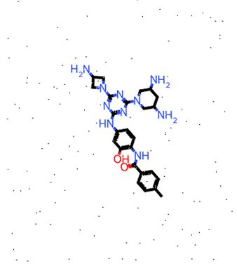 Cc1ccc(C(=O)Nc2ccc(Nc3nc(N4CC(N)CC(N)C4)nc(N4CC(N)C4)n3)cc2O)cc1